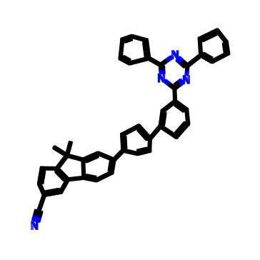 CC1(C)c2ccc(C#N)cc2-c2ccc(-c3ccc(-c4cccc(-c5nc(-c6ccccc6)nc(-c6ccccc6)n5)c4)cc3)cc21